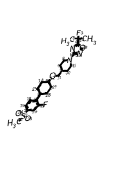 CC(C)(F)c1nc(N2CCC(COC3CCC(c4ccc(S(C)(=O)=O)cc4F)CC3)CC2)no1